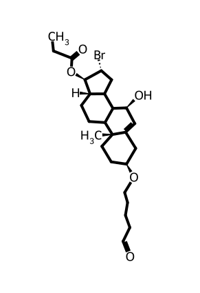 CCC(=O)O[C@H]1[C@H](Br)CC2C3C(CC[C@@H]21)[C@@]1(C)CC[C@H](OCCCCC=O)CC1=C[C@@H]3O